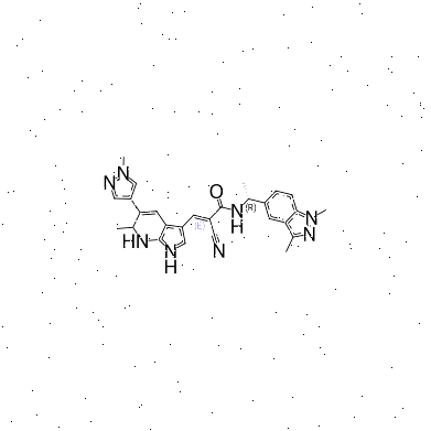 Cc1nn(C)c2ccc([C@@H](C)NC(=O)/C(C#N)=C/c3c[nH]c4c3C=C(c3cnn(C)c3)C(C)N4)cc12